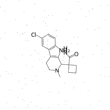 CN1CCc2c([nH]c3ccc(Cl)cc23)C1C1(C(N)=O)CCC1